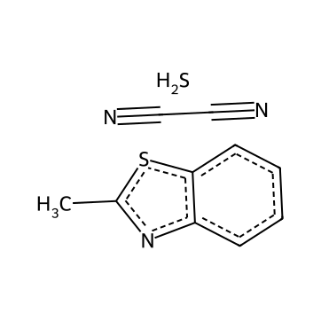 Cc1nc2ccccc2s1.N#CC#N.S